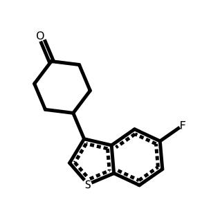 O=C1CCC(c2csc3ccc(F)cc23)CC1